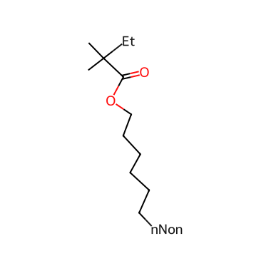 CCCCCCCCCCCCCCCOC(=O)C(C)(C)CC